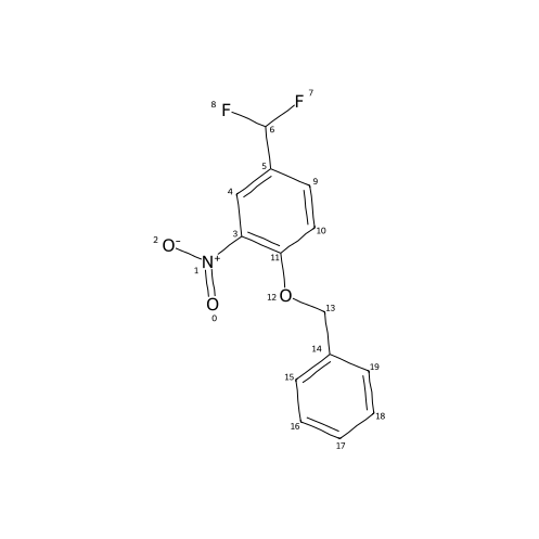 O=[N+]([O-])c1cc(C(F)F)ccc1OCc1ccccc1